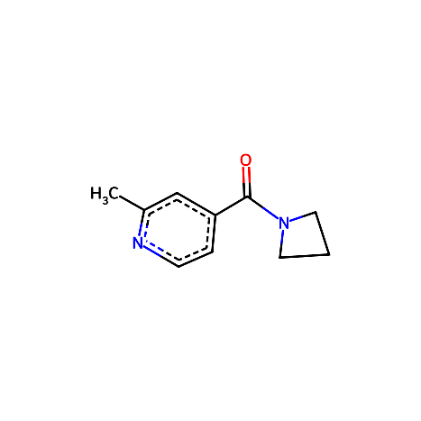 Cc1cc(C(=O)N2CCC2)ccn1